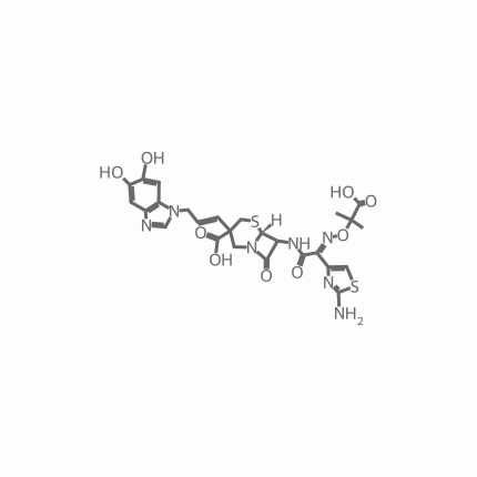 CC(C)(ON=C(C(=O)NC1C(=O)N2CC(C=CCn3cnc4cc(O)c(O)cc43)(C(=O)O)CS[C@H]12)c1csc(N)n1)C(=O)O